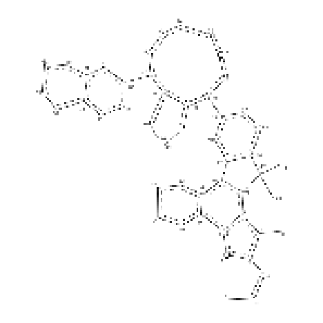 C/C=C\c1oc2c(c1C)c1c(c3ccccc32)-c2cc(-c3ccccccc(-c4ccc5ccccc5c4)c(=C/C)/c3=C\C)ccc2C1(C)C